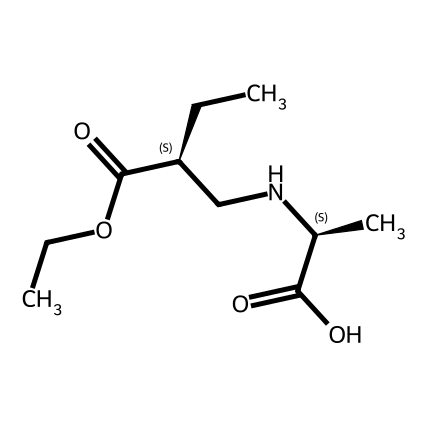 CCOC(=O)[C@@H](CC)CN[C@@H](C)C(=O)O